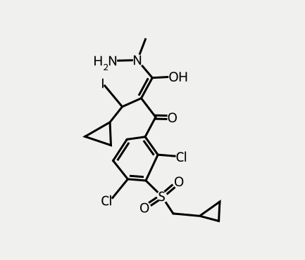 CN(N)/C(O)=C(/C(=O)c1ccc(Cl)c(S(=O)(=O)CC2CC2)c1Cl)C(I)C1CC1